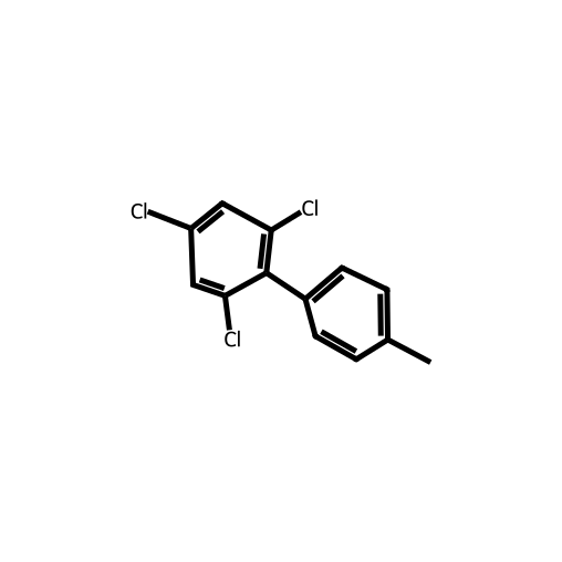 Cc1ccc(-c2c(Cl)cc(Cl)cc2Cl)cc1